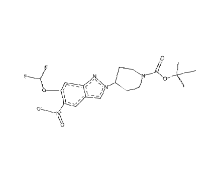 CC(C)(C)OC(=O)N1CCC(n2cc3cc([N+](=O)[O-])c(OC(F)F)cc3n2)CC1